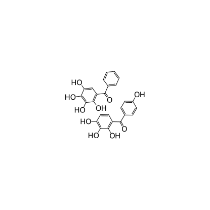 O=C(c1ccc(O)cc1)c1ccc(O)c(O)c1O.O=C(c1ccccc1)c1cc(O)c(O)c(O)c1O